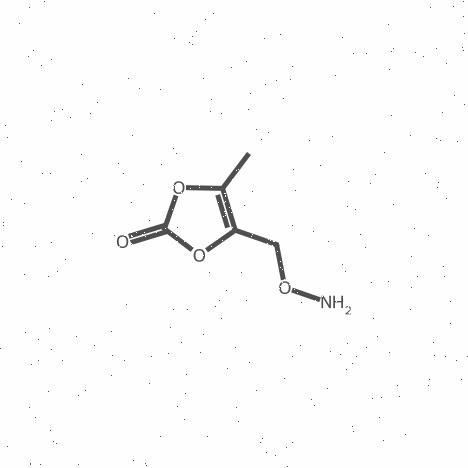 Cc1oc(=O)oc1CON